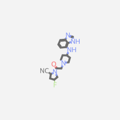 N#CC1C[C@H](F)CN1C(=O)CN1CCC(Nc2cccc3nc[nH]c23)CC1